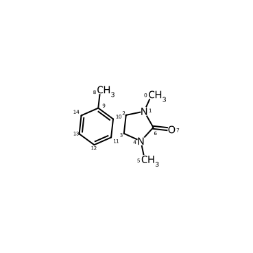 CN1CCN(C)C1=O.Cc1ccccc1